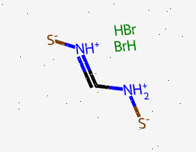 Br.Br.[S-][NH+]=C[NH2+][S-]